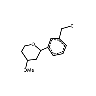 COC1CCOC(c2cccc(CCl)c2)C1